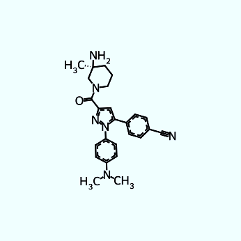 CN(C)c1ccc(-n2nc(C(=O)N3CCC[C@](C)(N)C3)cc2-c2ccc(C#N)cc2)cc1